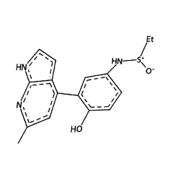 CC[S+]([O-])Nc1ccc(O)c(-c2cc(C)nc3[nH]ccc23)c1